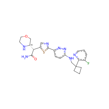 NC(=O)C(c1cnc(-c2ccc(NCC3(c4ncccc4F)CCC3)nn2)s1)[C@H]1COCCN1